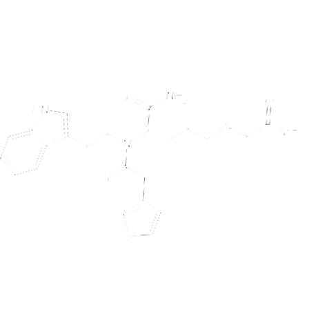 NC(=O)[C@H](CCCSCC(=O)C(F)(F)F)N(CCc1c[nH]c2ccccc12)C(=O)Cc1ccsc1